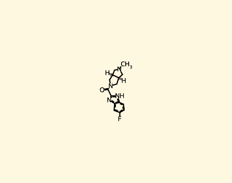 CN1C[C@@H]2CN(C(=O)c3nc4cc(F)ccc4[nH]3)C[C@@H]2C1